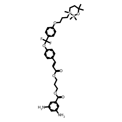 CC1(C)CC[Si](C)(CCCOc2ccc(C(F)(F)Oc3ccc(C=CC(=O)OCCCOC(=O)c4cc(N)cc(N)c4)cc3)cc2)[Si](C)(C)O1